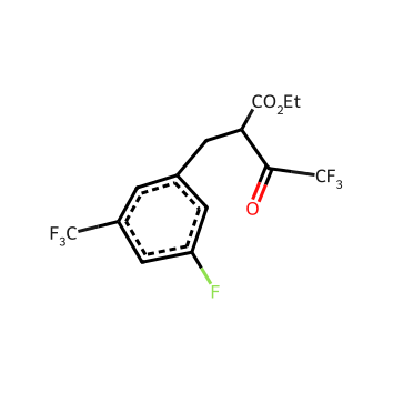 CCOC(=O)C(Cc1cc(F)cc(C(F)(F)F)c1)C(=O)C(F)(F)F